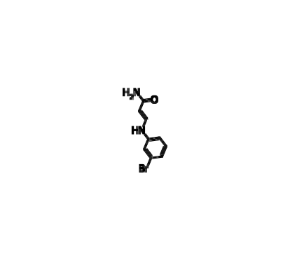 NC(=O)C=CNc1cccc(Br)c1